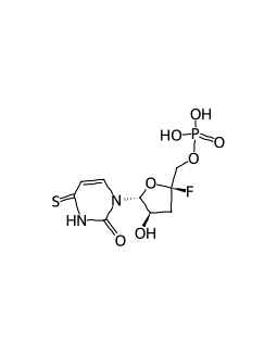 O=c1[nH]c(=S)ccn1[C@@H]1O[C@](F)(COP(=O)(O)O)C[C@H]1O